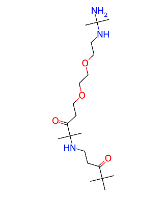 CC(C)(N)NCCOCCOCCC(=O)C(C)(C)NCCC(=O)C(C)(C)C